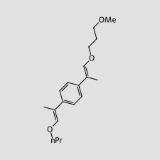 CCCOC=C(C)c1ccc(C(C)=COCCCOC)cc1